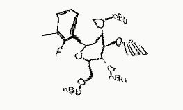 CCCCOC[C@H]1O[C@@H](c2cccc(C)c2F)[C@H](OCCCC)[C@@H](OCCCC)[C@@H]1OCCCC